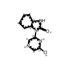 O=c1[nH]c2ccccc2n1-c1cncc(Cl)n1